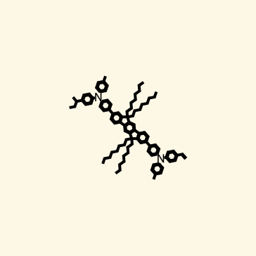 C=Cc1ccc(N(c2ccc(C)cc2)c2ccc(-c3ccc4c(c3)C(CCCCCCCC)(CCCCCCCC)c3cc5c(cc3-4)C(CCCCCCCC)(CCCCCCCC)c3cc(-c4ccc(N(c6ccc(C)cc6)c6ccc(C(C)CC)cc6)cc4)ccc3-5)cc2)cc1